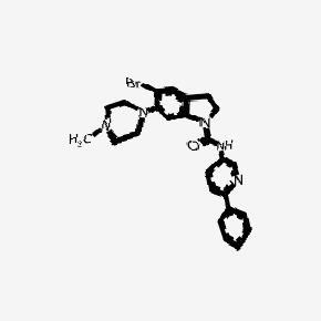 CN1CCN(c2cc3c(cc2Br)CCN3C(=O)Nc2ccc(-c3ccccc3)nc2)CC1